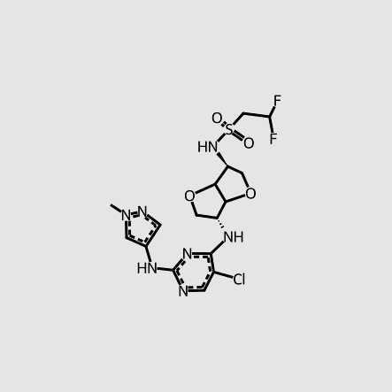 Cn1cc(Nc2ncc(Cl)c(N[C@@H]3COC4C3OC[C@@H]4NS(=O)(=O)CC(F)F)n2)cn1